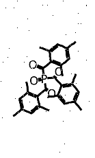 Cc1cc(C)c(C(=O)P(=O)(C(=O)c2c(C)cc(C)cc2C)C(=O)c2c(C)cc(C)cc2C)c(C)c1